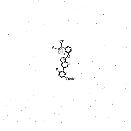 COc1ccc(F)c(-c2cnc3c(c2)CC[C@H]3Oc2cccc([C@H](C3CC3)[C@H](C)C(C)=O)c2)c1